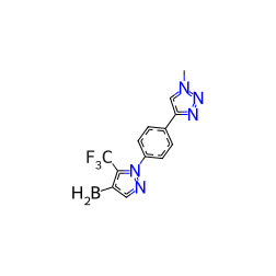 Bc1cnn(-c2ccc(-c3cn(C)nn3)cc2)c1C(F)(F)F